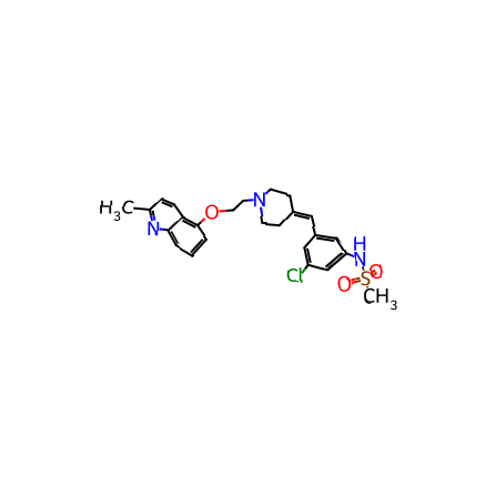 Cc1ccc2c(OCCN3CCC(=Cc4cc(Cl)cc(NS(C)(=O)=O)c4)CC3)cccc2n1